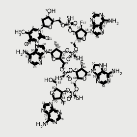 Cc1cn([C@H]2C[C@H](O)[C@@H](COP(=O)(S)O[C@H]3[C@@H](F)[C@H](n4cnc5c(N)ncnc54)O[C@@H]3COP(=O)(S)O[C@@H]3C(COP(=O)(S)O[C@H]4[C@@H](F)[C@H](N5CNc6c(N)ncnc65)O[C@@H]4COP(=O)(S)O[C@H]4[C@@H](F)[C@H](n5cnc6c(N)ncnc65)O[C@@H]4CO)O[C@@H](n4cnc5c(N)ncnc54)[C@@H]3F)O2)c(=O)[nH]c1=O